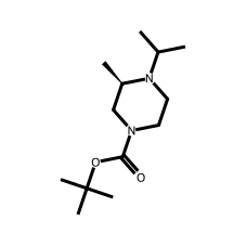 CC(C)N1CCN(C(=O)OC(C)(C)C)C[C@H]1C